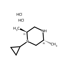 C[C@@H]1CN(C2CC2)[C@@H](C)CN1.Cl.Cl